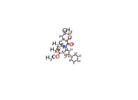 COC(=O)c1sc(-c2ccccc2)cc1N(C(=O)[C@H]1CC[C@H](C)CO1)C(C)C